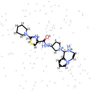 O=C(NC1CCN(C2NC=Cn3cccc32)C1)c1csc(N2CCCCC2)n1